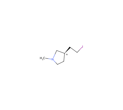 CN1CC[C@H](CCI)C1